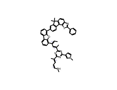 CB/C=C\C=C(/C)c1nc(C2=CB(C)C=C2)nc(/C(C)=C/C(=C\C)c2cccc3c2oc2c(-c4ccc5c(c4)C(C)(C)c4ccc6nc(-c7ccccc7)sc6c4-5)cccc23)n1